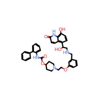 O=C(Nc1ccccc1-c1ccccc1)OC1CCN(CCOc2cccc(CNCC(O)c3ccc(O)c4[nH]c(=O)ccc34)c2)CC1